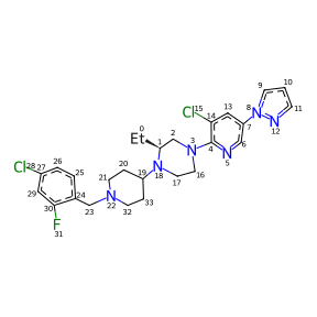 CC[C@H]1CN(c2ncc(-n3cccn3)cc2Cl)CCN1C1CCN(Cc2ccc(Cl)cc2F)CC1